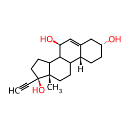 C#C[C@]1(O)CCC2C3C(CC[C@@]21C)[C@H]1CC[C@@H](O)CC1=C[C@@H]3O